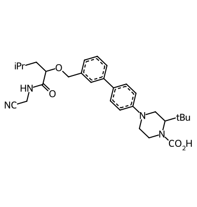 CC(C)CC(OCc1cccc(-c2ccc(N3CCN(C(=O)O)C(C(C)(C)C)C3)cc2)c1)C(=O)NCC#N